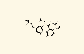 FCC1(CCc2cc(F)cc(N(CC(F)F)c3nc4nncn4c4ccc(F)cc34)c2)CC1